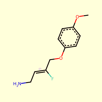 COc1ccc(OC/C(F)=C/CN)cc1